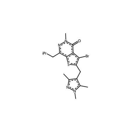 Cc1nn(C)c(C)c1Cc1sc2c(CC(C)C)nn(C)c(=O)c2c1Br